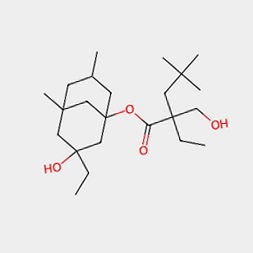 CCC1(O)CC2(C)CC(C)CC(OC(=O)C(CC)(CO)CC(C)(C)C)(C2)C1